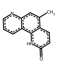 Cc1cc2ncccc2c2[nH]c(=O)ccc12